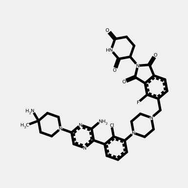 CC1(N)CCN(c2cnc(-c3cccc(N4CCN(Cc5ccc6c(c5F)C(=O)N(C5CCC(=O)NC5=O)C6=O)CC4)c3Cl)c(N)n2)CC1